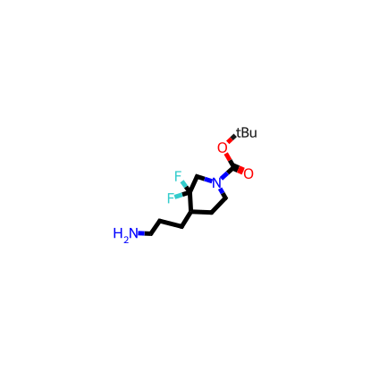 CC(C)(C)OC(=O)N1CCC(CCCN)C(F)(F)C1